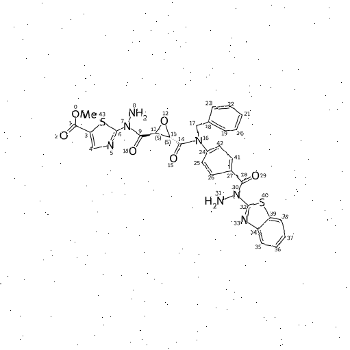 COC(=O)c1cnc(N(N)C(=O)[C@H]2O[C@@H]2C(=O)N(Cc2ccccc2)c2ccc(C(=O)N(N)c3nc4ccccc4s3)cc2)s1